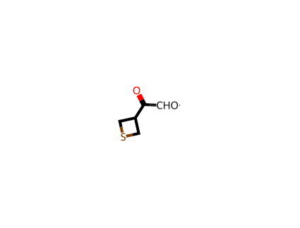 O=[C]C(=O)C1CSC1